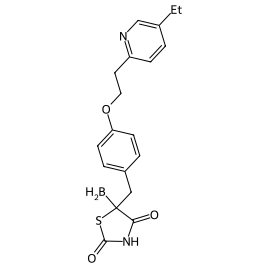 BC1(Cc2ccc(OCCc3ccc(CC)cn3)cc2)SC(=O)NC1=O